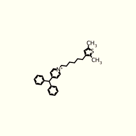 Cc1cc(CCCCCC[n+]2ccc(C(c3ccccc3)c3ccccc3)cc2)c(C)s1